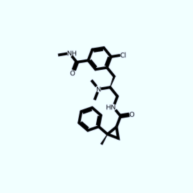 CNC(=O)c1ccc(Cl)c(C[C@@H](CNC(=O)C2C[C@]2(C)c2ccccc2)N(C)C)c1